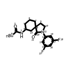 CCCCC(=O)NC1CCCC2(CCN(c3cc(F)cc(F)c3)C2=O)C1